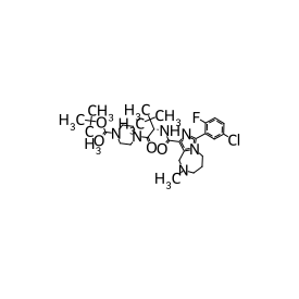 CN1CCCn2c(-c3cc(Cl)ccc3F)nc(C(=O)N[C@H](C(=O)N3CCN(C(=O)OC(C)(C)C)CC3)C(C)(C)C)c2C1